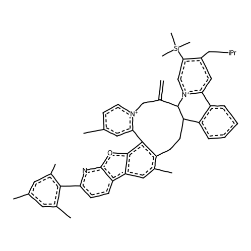 C=C1C[n+]2ccc(C)cc2-c2c(c(C)cc3c2oc2nc(-c4c(C)cc(C)cc4C)ccc23)CCC2c3ccccc3-c3cc(CC(C)C)c([Si](C)(C)C)c[n+]3C12